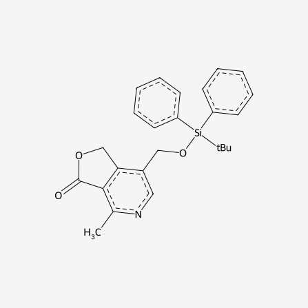 Cc1ncc(CO[Si](c2ccccc2)(c2ccccc2)C(C)(C)C)c2c1C(=O)OC2